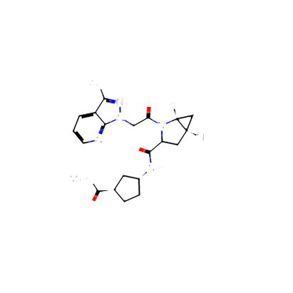 COC(=O)[C@@H]1CC[C@H](NC(=O)C2C[C@H]3C[C@H]3N2C(=O)Cn2nc(C(C)=O)c3cccnc32)C1